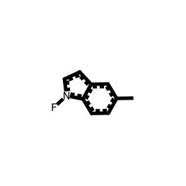 Cc1ccc2c(ccn2F)c1